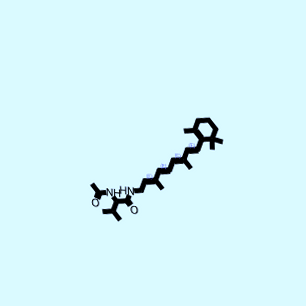 CC(=O)NC(C(=O)NC/C=C(C)/C=C/C=C(C)/C=C/C1=C(C)CCCC1(C)C)C(C)C